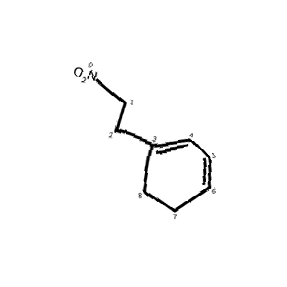 O=[N+]([O-])CCC1=CC=CCC1